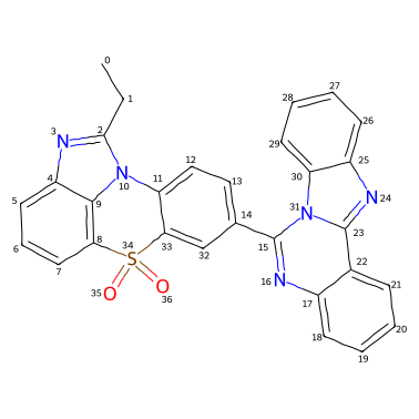 CCc1nc2cccc3c2n1-c1ccc(-c2nc4ccccc4c4nc5ccccc5n24)cc1S3(=O)=O